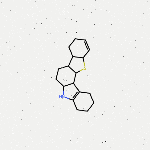 C1=CC2SC3C(CCC4NC5=C(CCCC5)C43)C2CC1